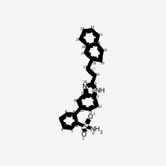 NS(=O)(=O)c1ccccc1-c1ccc2[nH]c(/C=C/c3ccc4ccccc4c3)nc2c1